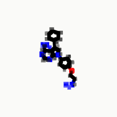 NCCOc1ccc(-n2cc(-c3ccccc3)c3c(N)ncnc32)cc1